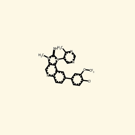 Cc1ncncc1-n1c(=N)n(C)c2cnc3ccc(-c4ccc(Cl)c(OC(F)(F)F)c4)cc3c21